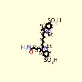 CCN1\C(=C/C=C/C=C/C2=[N+](CC)c3ccc(S(=O)(=O)O)cc3C2(C)C)C(C)(CCCC(N)=O)c2cc(S(=O)(=O)O)ccc21